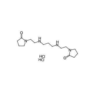 Cl.Cl.O=C1CCCN1CCNCCCNCCN1CCCC1=O